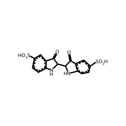 O=C1c2cc(S(=O)(=O)O)ccc2NC1C1Nc2ccc(S(=O)(=O)O)cc2C1=O